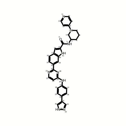 O=C(NC1CCCN(c2ccncc2)C1)c1cc2ccc(-c3nccc(Nc4ccc(-c5cn[nH]c5)cc4)n3)cc2[nH]1